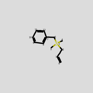 C=CCS(C)(C)Cc1ccccc1